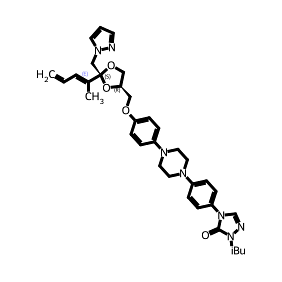 C=C/C=C(\C)[C@]1(Cn2cccn2)OC[C@@H](COc2ccc(N3CCN(c4ccc(-n5cnn(C(C)CC)c5=O)cc4)CC3)cc2)O1